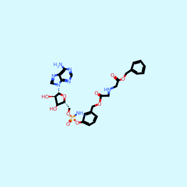 Nc1ncnc2c1ncn2[C@@H]1O[C@H](COP(N)(=O)Oc2cccc(COC(=O)CNCC(=O)OCc3ccccc3)c2)[C@@H](O)[C@H]1O